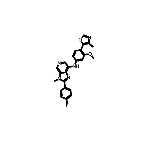 COc1cc(Nc2cncc3c2nc(-c2ccc(F)cc2)n3C)ccc1-c1ocnc1C